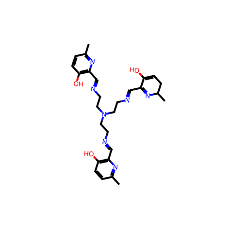 Cc1ccc(O)c(/C=N/CCN(CC/N=C/C2=NC(C)CC=C2O)CC/N=C/c2nc(C)ccc2O)n1